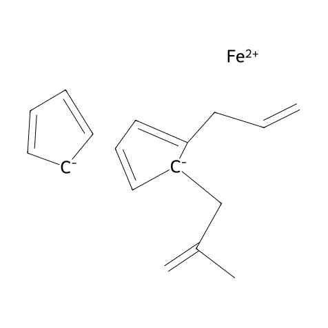 C=CCc1ccc[c-]1CC(=C)C.[Fe+2].c1cc[cH-]c1